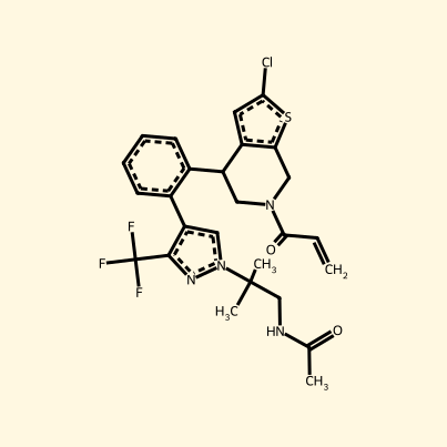 C=CC(=O)N1Cc2sc(Cl)cc2C(c2ccccc2-c2cn(C(C)(C)CNC(C)=O)nc2C(F)(F)F)C1